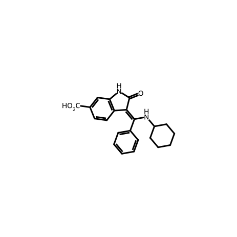 O=C1Nc2cc(C(=O)O)ccc2/C1=C(/NC1CCCCC1)c1ccccc1